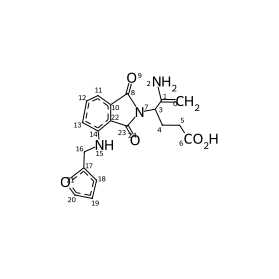 C=C(N)C(CCC(=O)O)N1C(=O)c2cccc(NCc3ccco3)c2C1=O